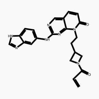 C=CC(=O)N1CC(CCn2c(=O)ccc3cnc(Nc4ccc5[nH]cnc5c4)nc32)C1